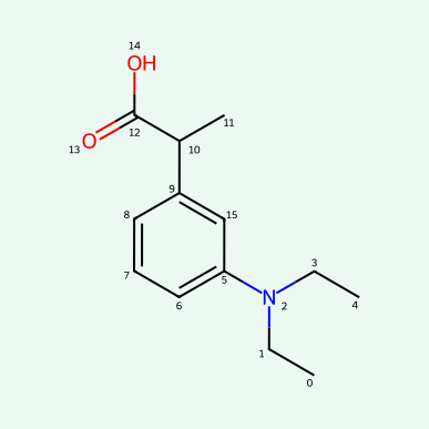 CCN(CC)c1cccc(C(C)C(=O)O)c1